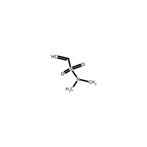 [CH]=CS(=O)(=O)N(C)C